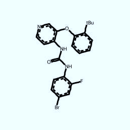 CC(C)(C)c1ccccc1Oc1cnccc1NC(=O)Nc1ccc(Br)cc1F